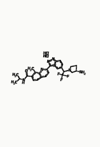 Cc1c(C(=O)NC(C)C)ccc2ccc(-c3nnc4ccc([C@@H](N5CCC(N)C5)C(F)(F)F)cn34)nc12.Cl.Cl